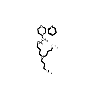 CCCCN(CCCC)CCCC.CN1CCOCC1.c1ccncc1